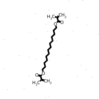 C=C(C)C(=O)OCCCCCCCCCCCCCCOC(=O)C(=C)C